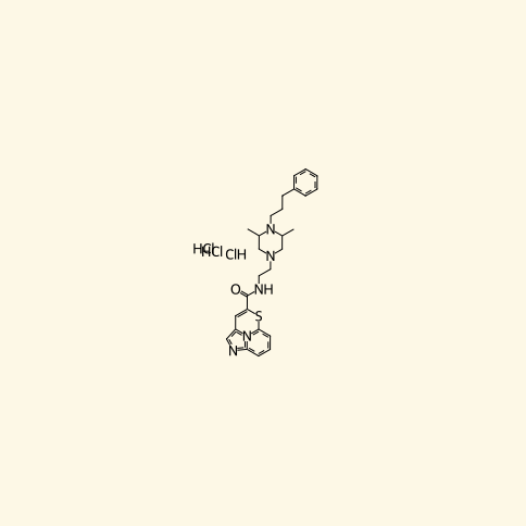 CC1CN(CCNC(=O)C2=Cc3cnc4cccc(n34)S2)CC(C)N1CCCc1ccccc1.Cl.Cl.Cl